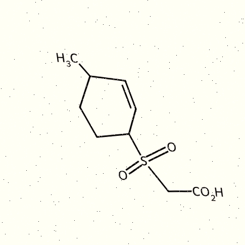 CC1C=CC(S(=O)(=O)CC(=O)O)CC1